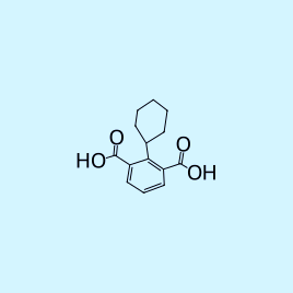 O=C(O)c1cccc(C(=O)O)c1C1CCCCC1